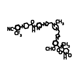 CC1CN(CC2CN(c3ccc(C=O)c(C(=O)N(C)C4CCC(=O)NC4=O)c3)C2)CCN1CC1CN(c2ccc(NC(=O)C3CCN(c4ccc(C#N)c(C(F)(F)F)c4)CC3)nc2)C1